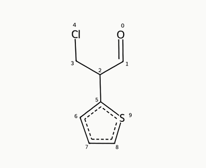 O=CC(CCl)c1cccs1